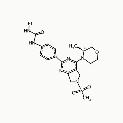 CCNC(=O)Nc1ccc(-c2nc3c(c(N4CCOC[C@@H]4C)n2)CN(S(C)(=O)=O)C3)cc1